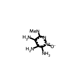 CNc1n[n+]([O-])c(N)c(N)c1N